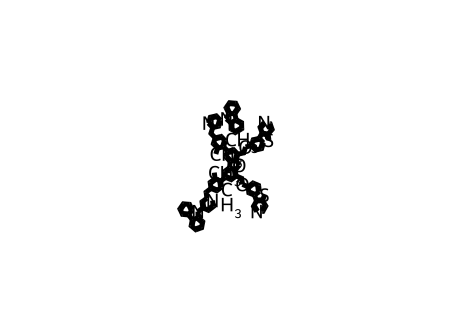 Cc1cc(Cc2cc(-n3c4ccccc4c4ccccc43)ccn2)cc(C)c1-c1cc(COc2ccc3sc4ccncc4c3c2)c2oc3c(COc4ccc5sc6ccncc6c5c4)cc(-c4c(C)cc(Cc5cc(-n6c7ccccc7c7ccccc76)ccn5)cc4C)cc3c2c1